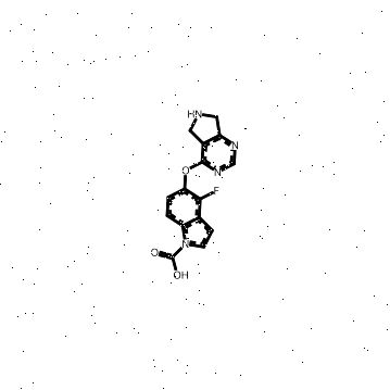 O=C(O)n1ccc2c(F)c(Oc3ncnc4c3CNC4)ccc21